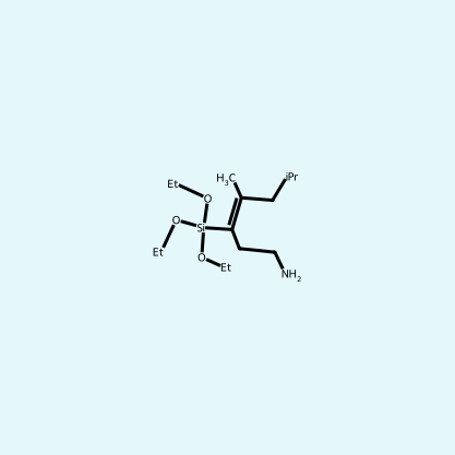 CCO[Si](OCC)(OCC)C(CCN)=C(C)CC(C)C